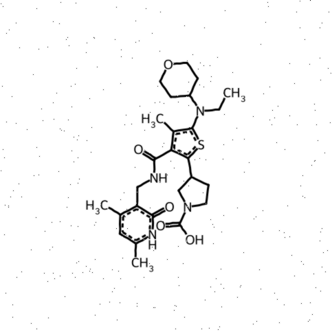 CCN(c1sc(C2CCN(C(=O)O)C2)c(C(=O)NCc2c(C)cc(C)[nH]c2=O)c1C)C1CCOCC1